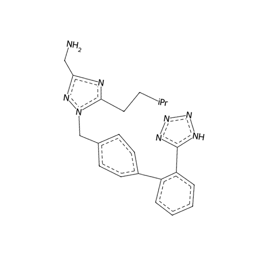 CC(C)CCc1nc(CN)nn1Cc1ccc(-c2ccccc2-c2nnn[nH]2)cc1